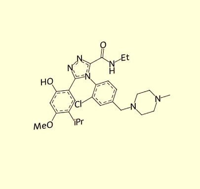 CCNC(=O)c1nnc(-c2cc(C(C)C)c(OC)cc2O)n1-c1ccc(CN2CCN(C)CC2)cc1Cl